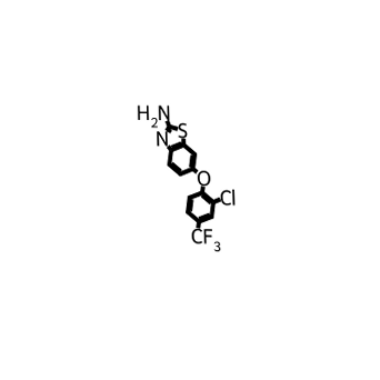 Nc1nc2ccc(Oc3ccc(C(F)(F)F)cc3Cl)cc2s1